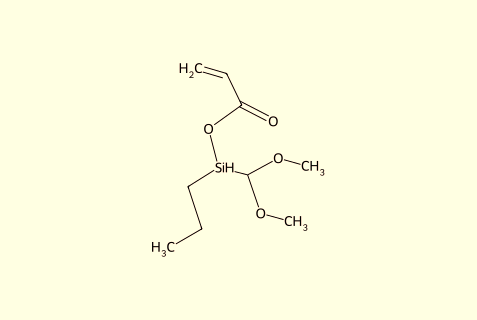 C=CC(=O)O[SiH](CCC)C(OC)OC